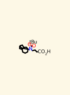 CC(C)(C)OC(=O)N(CCCC(=O)O)C12CCCC3CC(CC3C1)C2